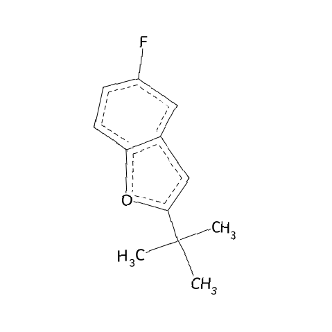 CC(C)(C)c1cc2cc(F)ccc2o1